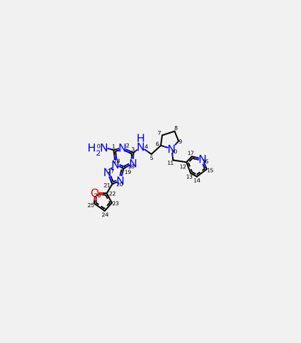 Nc1nc(NCC2CCCN2Cc2cccnc2)nc2nc(-c3ccco3)nn12